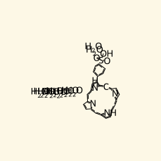 O.O.O.O.O.O.O.O.O.O.O.O.O=S(=O)(O)c1ccc(-c2cc3cc4nc(cc5ccc(cc6nc(cc2[nH]3)C=C6)[nH]5)C=C4)cc1